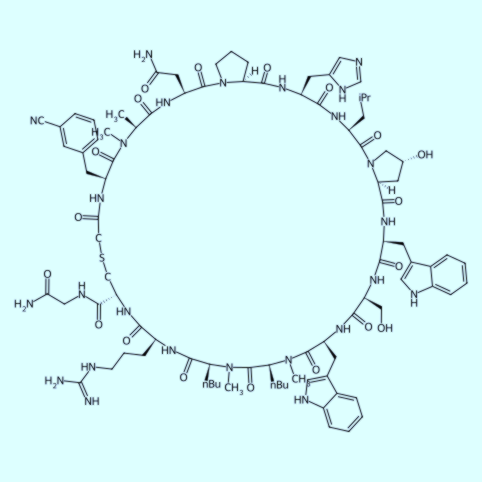 CCCC[C@H]1C(=O)N(C)[C@@H](CCCC)C(=O)N[C@@H](CCCNC(=N)N)C(=O)N[C@H](C(=O)NCC(N)=O)CSCC(=O)N[C@@H](Cc2cccc(C#N)c2)C(=O)N(C)[C@@H](C)C(=O)N[C@@H](CC(N)=O)C(=O)N2CCC[C@H]2C(=O)N[C@@H](Cc2cnc[nH]2)C(=O)N[C@@H](CC(C)C)C(=O)N2C[C@H](O)C[C@H]2C(=O)N[C@@H](Cc2c[nH]c3ccccc23)C(=O)N[C@@H](CO)C(=O)N[C@@H](Cc2c[nH]c3ccccc23)C(=O)N1C